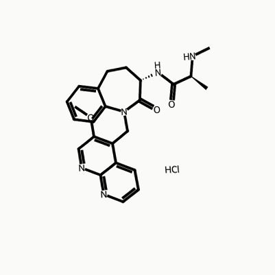 CN[C@@H](C)C(=O)N[C@H]1CCc2ccccc2N(Cc2c(OC)cnc3ncccc23)C1=O.Cl